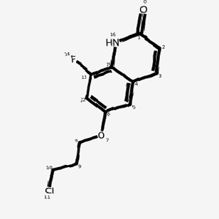 O=c1ccc2cc(OCCCCl)cc(F)c2[nH]1